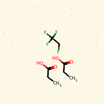 CCC(=O)O.CCC(=O)O.FCC(F)(F)F